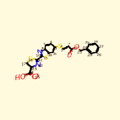 O=C(C=CSc1ccc2nc(C3=NC(C(=O)O)CS3)sc2c1)OCc1ccccc1